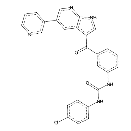 O=C(Nc1ccc(Cl)cc1)Nc1cccc(C(=O)c2c[nH]c3ncc(-c4cccnc4)cc23)c1